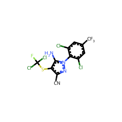 N#Cc1nn(-c2c(Cl)cc(C(F)(F)F)cc2Cl)c(N)c1SC(F)(Cl)Cl